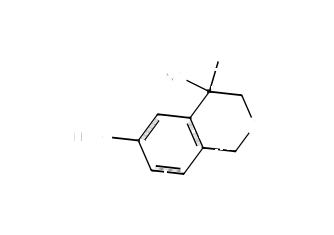 CC1(C#N)COCc2ccc(C(=O)O)cc21